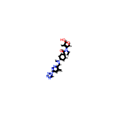 CC1=C(N2CC[C@]3(CC[C@@H](N(C)Cc4nnc(-n5cnnn5)cc4C)CC3)C2=O)COC1O